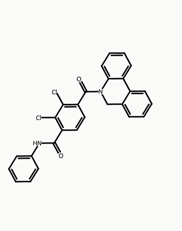 O=C(Nc1ccccc1)c1ccc(C(=O)N2Cc3ccccc3-c3ccccc32)c(Cl)c1Cl